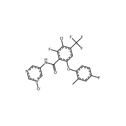 Cc1cc(F)ccc1Oc1cc(C(F)(F)F)c(Cl)c(F)c1C(=O)Nc1cnc[n+]([O-])c1